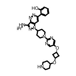 CC(C)Nc1nn(C2CCN(c3ncc(O[C@H]4C[C@H](OC5CCNCC5)C4)cn3)CC2)c2cc(-c3ccccc3O)nnc12